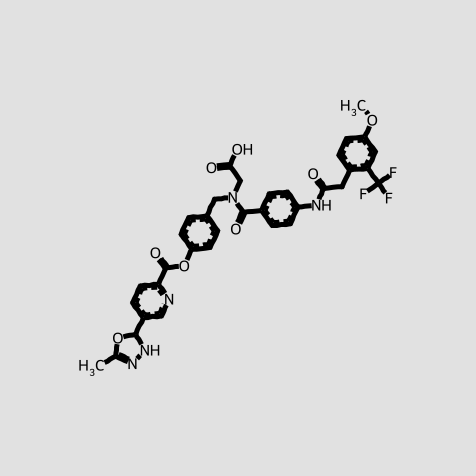 COc1ccc(CC(=O)Nc2ccc(C(=O)N(CC(=O)O)Cc3ccc(OC(=O)c4ccc(C5NN=C(C)O5)cn4)cc3)cc2)c(C(F)(F)F)c1